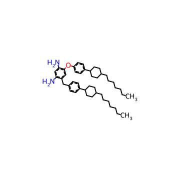 CCCCCCCC1CCC(c2ccc(Cc3cc(Oc4ccc(C5CCC(CCCCCCC)CC5)cc4)c(N)cc3N)cc2)CC1